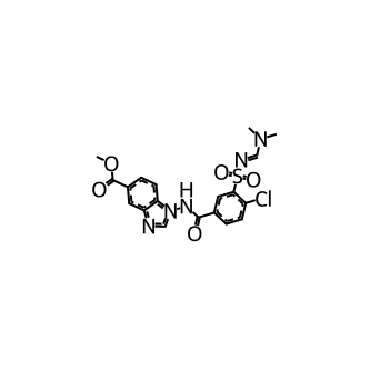 COC(=O)c1ccc2c(c1)ncn2NC(=O)c1ccc(Cl)c(S(=O)(=O)N=CN(C)C)c1